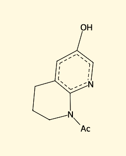 CC(=O)N1CCCc2cc(O)cnc21